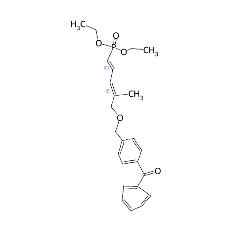 CCOP(=O)(/C=C/C=C(\C)COCc1ccc(C(=O)c2ccccc2)cc1)OCC